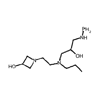 CCCN(CCN1CC(O)C1)CC(O)CNP